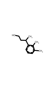 Cc1cccc(C(C)CCO)c1C